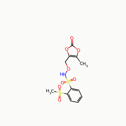 Cc1oc(=O)oc1CONS(=O)(=O)c1ccccc1S(C)(=O)=O